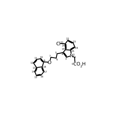 O=C(O)Cn1cc(CCCOc2cccc3ccccc23)c2c(Cl)cccc21